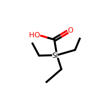 CC[Si](CC)(CC)C(=O)O